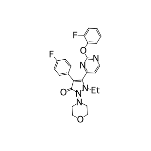 CCn1c(-c2ccnc(Oc3ccccc3F)n2)c(-c2ccc(F)cc2)c(=O)n1N1CCOCC1